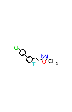 Cc1nnc(C[CH]c2cc(-c3ccc(Cl)cc3)ccc2F)o1